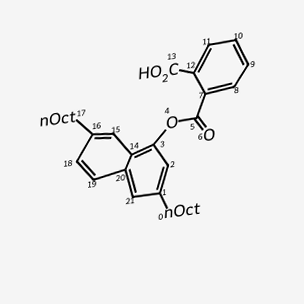 CCCCCCCCc1cc(OC(=O)c2ccccc2C(=O)O)c2cc(CCCCCCCC)ccc2c1